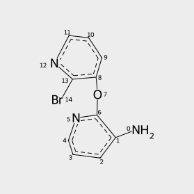 Nc1cccnc1Oc1cccnc1Br